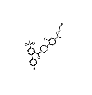 CC(OCCF)c1ccc(N2CCN(C(=O)c3cc(S(C)(=O)=O)ccc3-c3ccc(F)cc3)CC2)c(F)c1